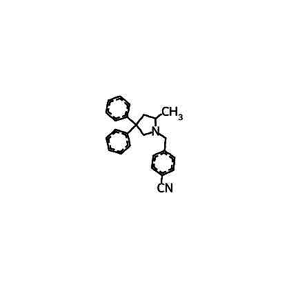 CC1CC(c2ccccc2)(c2ccccc2)CN1Cc1ccc(C#N)cc1